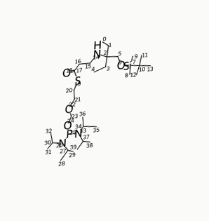 CCC(CC)(CO[Si](C)(C)C(C)(C)C)NCCC(=O)SCCOCOP(N(C(C)C)C(C)C)N(C(C)C)C(C)C